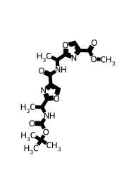 COC(=O)c1coc(C(C)NC(=O)c2coc(C(C)NC(=O)OC(C)(C)C)n2)n1